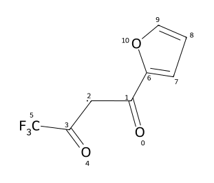 O=C([CH]C(=O)C(F)(F)F)c1ccco1